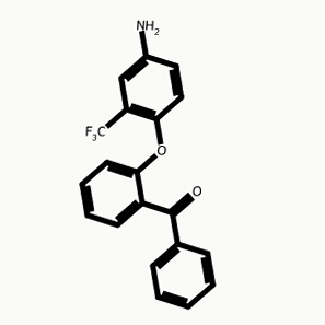 Nc1ccc(Oc2ccccc2C(=O)c2ccccc2)c(C(F)(F)F)c1